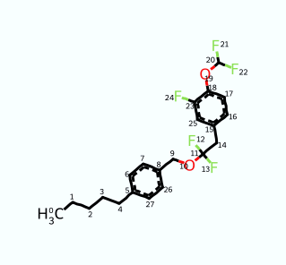 CCCCCc1ccc(COC(F)(F)Cc2ccc(OC(F)F)c(F)c2)cc1